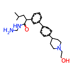 CC(C)CC(C(=O)NCN)c1cccc(-c2ccc(C3CCN(CCO)CC3)cc2)c1